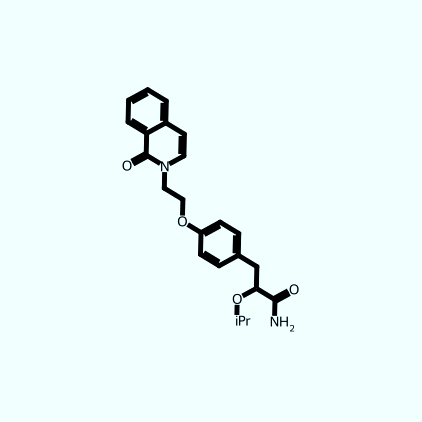 CC(C)OC(Cc1ccc(OCCn2ccc3ccccc3c2=O)cc1)C(N)=O